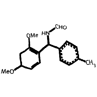 COC1=C(C(NC=O)c2ccc(C)cc2)C=CC(OC)C1